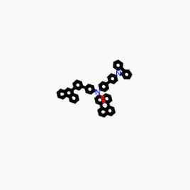 c1ccc(-c2cccc3cccc(-c4ccc(N(c5ccc(-c6ccc(-n7c8ccccc8c8ccccc87)cc6)cc5)c5ccc(-c6cccc(-c7cc8ccccc8c8ccccc78)c6)cc5)cc4)c23)cc1